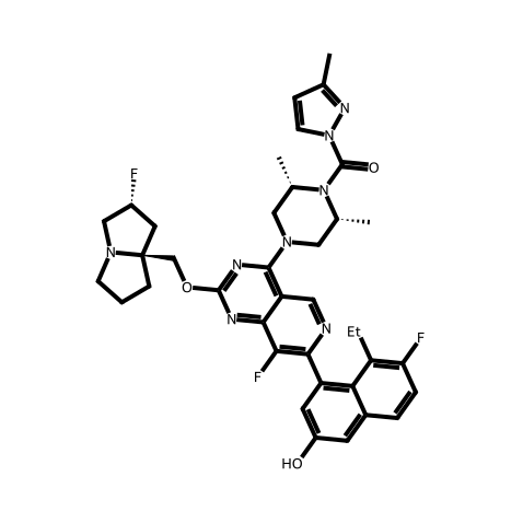 CCc1c(F)ccc2cc(O)cc(-c3ncc4c(N5C[C@@H](C)N(C(=O)n6ccc(C)n6)[C@@H](C)C5)nc(OC[C@@]56CCCN5C[C@H](F)C6)nc4c3F)c12